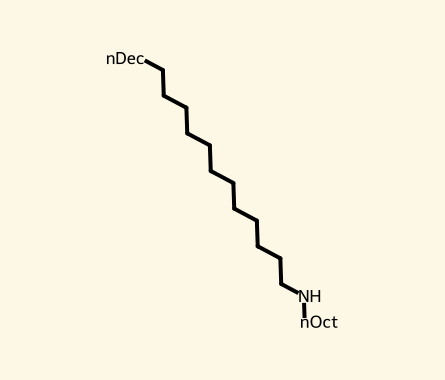 CCCCCCCCCCCCCCCCCCCCCCNCCCCCCCC